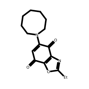 CCc1nc2c(o1)C(=O)C=C(N1CCCCCCC1)C2=O